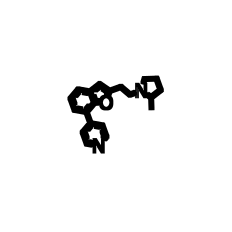 CC1CCCN1CCc1cc2cccc(-c3ccncc3)c2o1